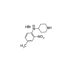 Br.Cc1ccc(NC2CCNCC2)c([N+](=O)[O-])c1